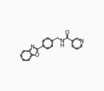 O=C(NCc1ccc(-c2nc3ccccc3o2)cc1)c1cccnc1